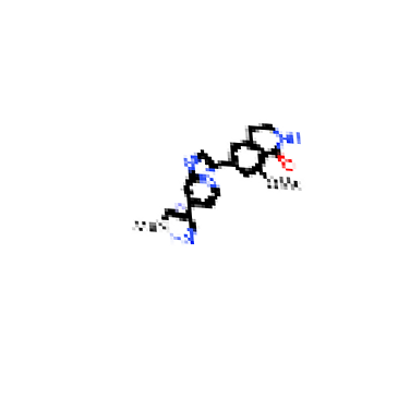 CN/C=C(\C=N)c1ccn2c(-c3cc4c(c(OC)c3)C(=O)NCC4)cnc2c1